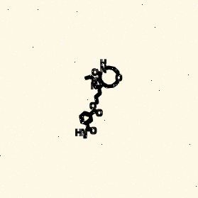 CCn1nc(CCCOC(=O)c2cccc(C(=O)NC)c2)c2c1C(=O)NCCCOCCC2